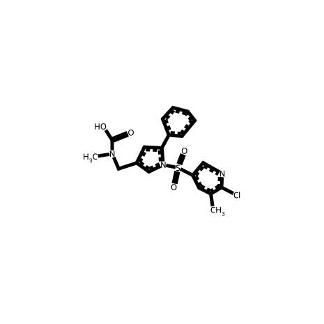 Cc1cc(S(=O)(=O)n2cc(CN(C)C(=O)O)cc2-c2ccccc2)cnc1Cl